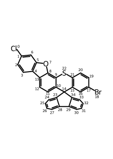 Clc1ccc2c(c1)oc1c3c(ccc12)C1(c2cc(Br)ccc2S3)c2ccccc2-c2ccccc21